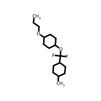 CCCOC1CCC(OC(F)(F)C2CCC(C)CC2)CC1